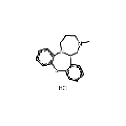 CN1CCCN2c3ccccc3Oc3ccccc3C2C1.Cl